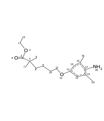 CCOC(=O)C(C)(C)CCCCOc1cc(C)c(N)c(C)c1